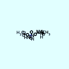 COC(=O)c1ccc2c(c1)NC(=O)/C2=C(\Nc1ccc(C(N)CCNS(C)(=O)=O)cc1)c1ccccc1